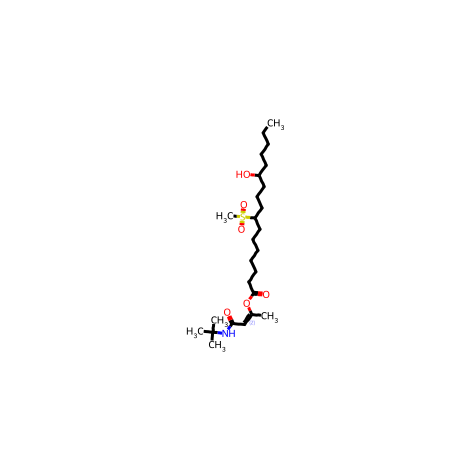 CCCCCC(O)CCCC(CCCCCCC(=O)O/C(C)=C\C(=O)NC(C)(C)C)S(C)(=O)=O